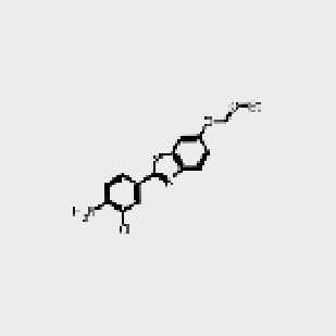 CCOCOc1ccc2nc(-c3ccc(N)c(Cl)c3)sc2c1